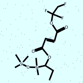 CCC(OC(=O)/C=C/C(=O)OC(F)(F)CF)[Si](C)(C)O[Si](C)(C)C